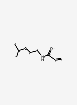 C=CC(=O)NCCSC(C)C